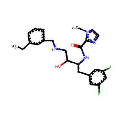 CCc1cccc(CNCC(O)C(Cc2cc(F)cc(F)c2)NC(=O)c2nccn2C)c1